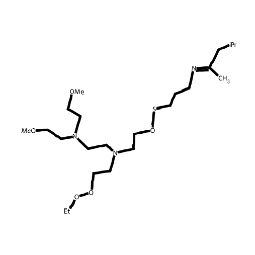 CCOOCCN(CCOSCCC/N=C(\C)CC(C)C)CCN(CCOC)CCOC